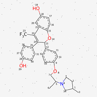 CC1CCN(C(C)COc2ccc(C3Oc4ccc(O)cc4C(C(F)(F)F)=C3c3ccc(O)cc3)cc2)C1